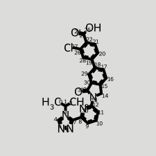 CC(C)n1cnnc1-c1cccc(N2Cc3ccc(-c4ccc(C(=O)O)c(Cl)c4)cc3C2=O)n1